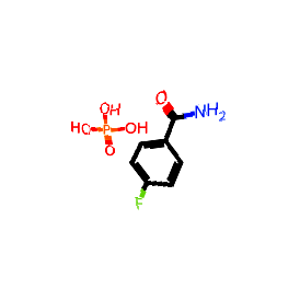 NC(=O)c1ccc(F)cc1.O=P(O)(O)O